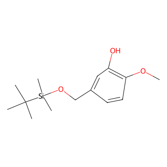 COc1ccc(CO[Si](C)(C)C(C)(C)C)cc1O